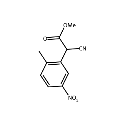 COC(=O)C(C#N)c1cc([N+](=O)[O-])ccc1C